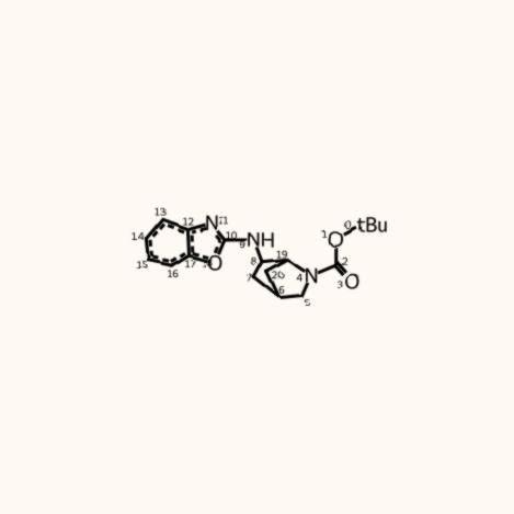 CC(C)(C)OC(=O)N1CC2CC(Nc3nc4ccccc4o3)C1C2